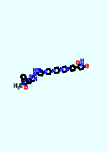 CN(C)C(=O)c1cc2cnc(Nc3ccc(N4CCC(N5CCC(N6CCN(c7ccc(C8CCC(=O)NC8=O)cc7)CC6)CC5)CC4)cn3)nc2n1C1CCCC1